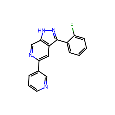 Fc1ccccc1-c1n[nH]c2cnc(-c3cccnc3)cc12